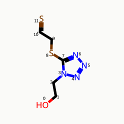 OCCn1nnnc1SC[C]=S